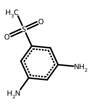 CS(=O)(=O)c1cc(N)cc(N)c1